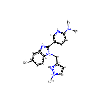 CCN(CC)c1ccc(-c2nc3cc(C#N)ccc3n2Cc2ccn(CC)n2)cn1